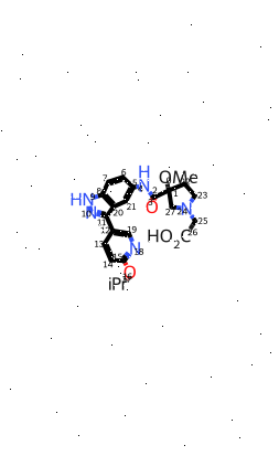 COC1(C(=O)Nc2ccc3[nH]nc(-c4ccc(OC(C)C)nc4)c3c2)CCN(CC(=O)O)C1